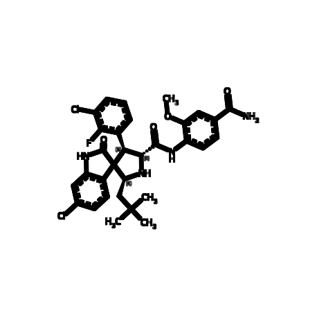 COc1cc(C(N)=O)ccc1NC(=O)[C@@H]1N[C@@H](CC(C)(C)C)C2(C(=O)Nc3cc(Cl)ccc32)[C@H]1c1cccc(Cl)c1F